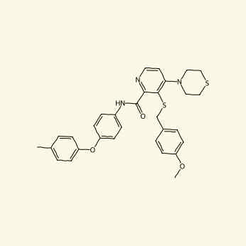 COc1ccc(CSc2c(N3CCSCC3)ccnc2C(=O)Nc2ccc(Oc3ccc(C)cc3)cc2)cc1